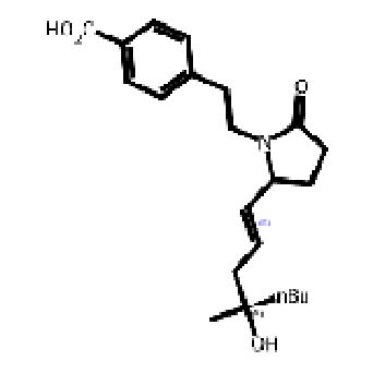 CCCC[C@](C)(O)C/C=C/C1CCC(=O)N1CCc1ccc(C(=O)O)cc1